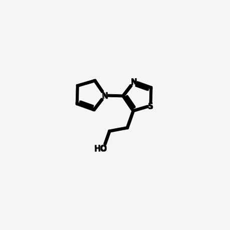 OCCc1scnc1N1C=CCC1